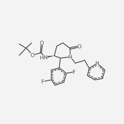 CC(C)(C)OC(=O)N[C@H]1CCC(=O)N(CCc2ccccn2)C1c1cc(F)ccc1F